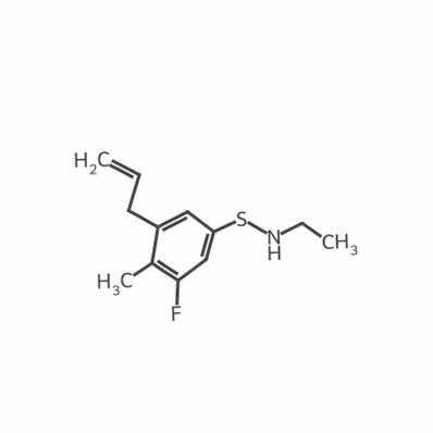 C=CCc1cc(SNCC)cc(F)c1C